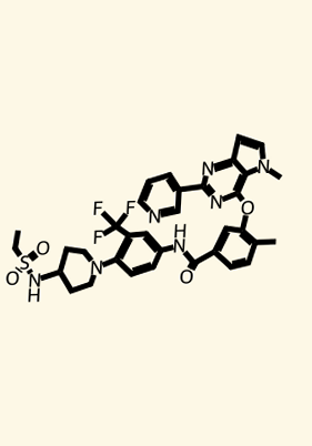 CCS(=O)(=O)NC1CCN(c2ccc(NC(=O)c3ccc(C)c(Oc4nc(-c5cccnc5)nc5ccn(C)c45)c3)cc2C(F)(F)F)CC1